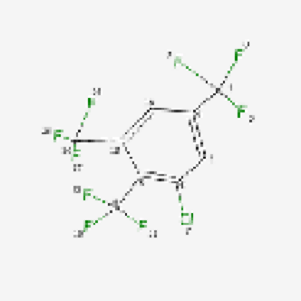 FC(F)(F)c1cc(Cl)c(C(F)(F)F)c(C(F)(F)F)c1